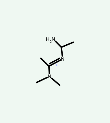 C/C(=N\C(C)N)N(C)C